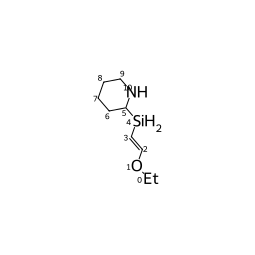 CCOC=C[SiH2]C1CCCCN1